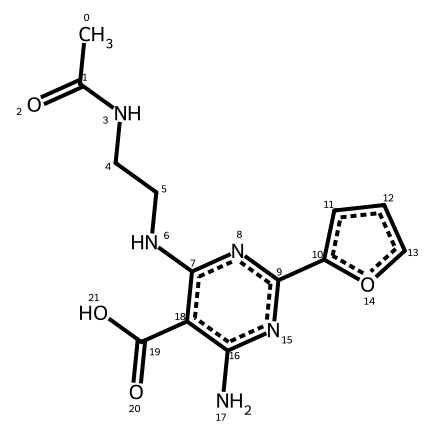 CC(=O)NCCNc1nc(-c2ccco2)nc(N)c1C(=O)O